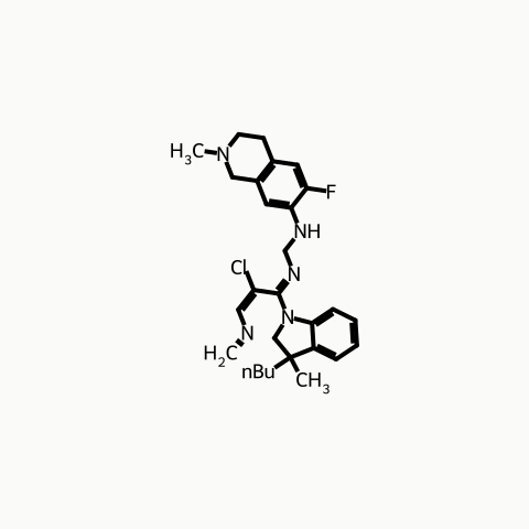 C=N/C=C(Cl)\C(=N/CNc1cc2c(cc1F)CCN(C)C2)N1CC(C)(CCCC)c2ccccc21